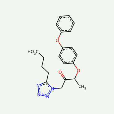 CC(Oc1ccc(Oc2ccccc2)cc1)C(=O)Cn1nnnc1CCCC(=O)O